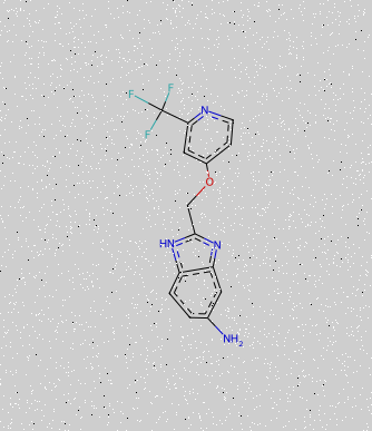 Nc1ccc2[nH]c(COc3ccnc(C(F)(F)F)c3)nc2c1